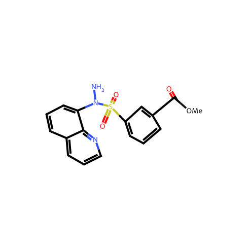 COC(=O)c1cccc(S(=O)(=O)N(N)c2cccc3cccnc23)c1